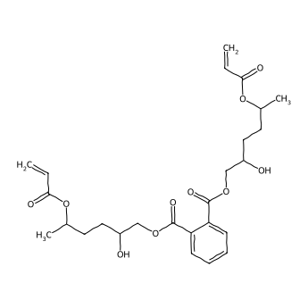 C=CC(=O)OC(C)CCC(O)COC(=O)c1ccccc1C(=O)OCC(O)CCC(C)OC(=O)C=C